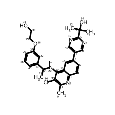 Cc1nc2ccc(-c3cnc(C(C)(C)O)nc3)cc2c(NC(C)c2cccc(OCCO)c2)c1Cl